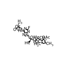 C#CC(CCn1cnc2c(NCc3oc(=O)oc3C)nc(F)nc21)(COC(=O)CC(C)(C)c1c(C)cc(C)cc1OC(C)=O)OC